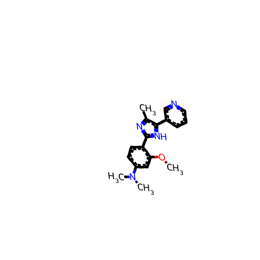 COc1cc(N(C)C)ccc1-c1nc(C)c(-c2cccnc2)[nH]1